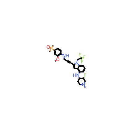 COc1cc(P(C)(C)=O)ccc1NCC#Cc1cc2c(N[C@@H]3CCN(C)C[C@@H]3F)cccc2n1CC(F)(F)F